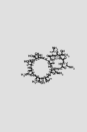 CCCCCCCC(=O)N[C@@H](CCN)C(=O)N[C@H](C(=O)N[C@@H](CCN)C(=O)N[C@H]1CCNC(=O)[C@H]([C@@H](C)O)NC(=O)[C@H](CO)NC(=O)[C@H](CCN)NC(=O)[C@H]([C@@H](C)O)NC(=O)[C@@H](CC(C)C)NC(=O)[C@H](CCN)NC1=O)[C@@H](C)O